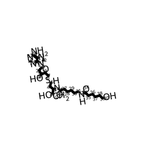 C=C(O)C(CCSCC1OC(n2cnc3c(N)ncnc32)C[C@@H]1O)NC(=O)CCCCCNC(=O)CCCCCO